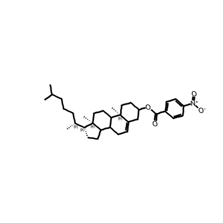 CC(C)CCC[C@@H](C)[C@H]1CCC2C3CC=C4CC(OC(=O)c5ccc([N+](=O)[O-])cc5)CC[C@]4(C)C3CC[C@@]21C